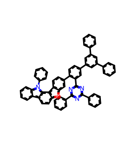 c1ccc(-c2cc(-c3ccccc3)cc(-c3ccc(-c4ccc5c(c4)oc4ccc6c7ccccc7n(-c7ccccc7)c6c45)c(-c4nc(-c5ccccc5)nc(-c5ccccc5)n4)c3)c2)cc1